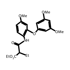 CCOC(=O)C(CC)C(=O)Nc1ccc(OC)cc1Oc1cc(OC)cc(OC)c1